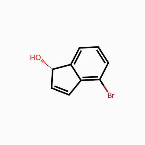 O[C@H]1C=Cc2c(Br)cccc21